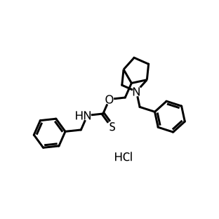 Cl.S=C(NCc1ccccc1)OCC1C2CCC1N(Cc1ccccc1)C2